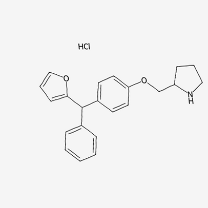 Cl.c1ccc(C(c2ccc(OCC3CCCN3)cc2)c2ccco2)cc1